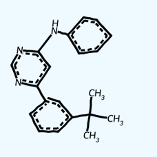 CC(C)(C)c1cccc(-c2cc(Nc3ccccc3)ncn2)c1